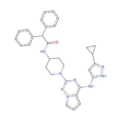 O=C(NC1CCN(c2nc(Nc3cc(C4CC4)n[nH]3)c3cccn3n2)CC1)C(c1ccccc1)c1ccccc1